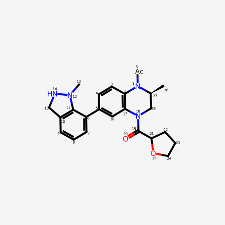 CC(=O)N1c2ccc(-c3cccc4c3N(C)NC4)cc2N(C(=O)C2CCCO2)C[C@@H]1C